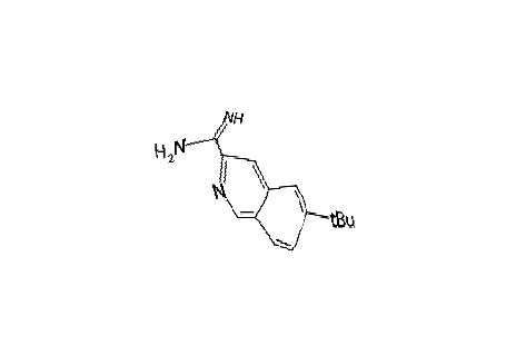 CC(C)(C)c1ccc2cnc(C(=N)N)cc2c1